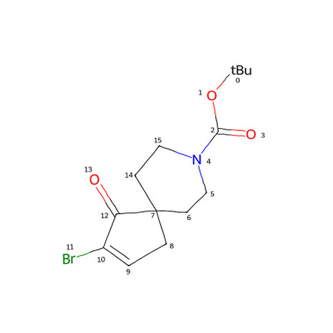 CC(C)(C)OC(=O)N1CCC2(CC=C(Br)C2=O)CC1